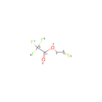 O=C(OCC=S)C(F)(F)F